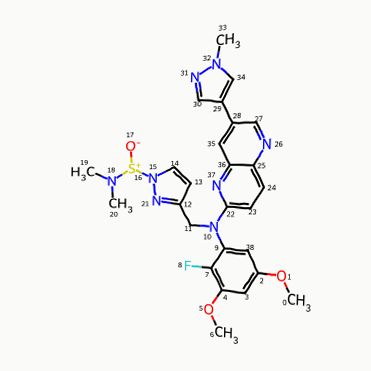 COc1cc(OC)c(F)c(N(Cc2ccn([S+]([O-])N(C)C)n2)c2ccc3ncc(-c4cnn(C)c4)cc3n2)c1